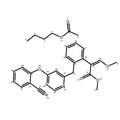 CCCCOC(C)=O.COC=C(C(=O)OC)c1ccccc1Cc1cc(Oc2ccccc2C#N)ncn1